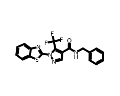 O=C(NCc1ccccc1)c1cnn(-c2nc3ccccc3s2)c1C(F)(F)F